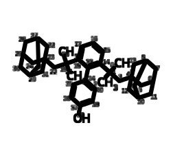 CC(C)(CC12CC3CC(CC(C3)C1)C2)c1cccc(C(C)(C)CC23CC4CC(CC(C4)C2)C3)c1-c1ccc(O)cc1